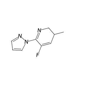 CC1C=C(F)C(n2cccn2)=NC1